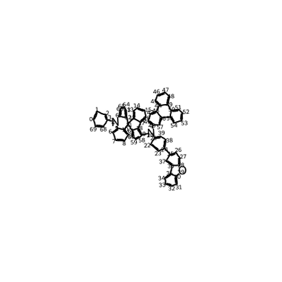 c1ccc(N2c3ccccc3C3(c4ccccc4-c4c(N(c5ccc(-c6ccc7oc8ccccc8c7c6)cc5)c5ccc6c7ccccc7c7ccccc7c6c5)cccc43)c3ccccc32)cc1